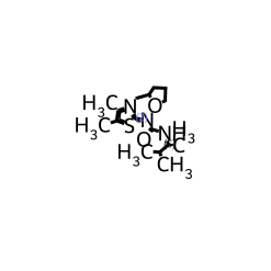 Cc1s/c(=N\C(=O)N[C@@H](C)C(C)C)n(CC2CCCO2)c1C